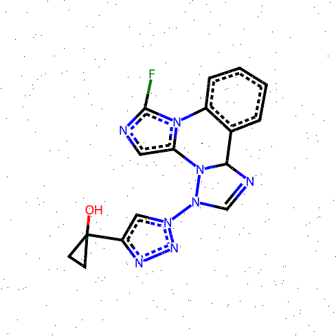 OC1(c2cn(N3C=NC4c5ccccc5-n5c(cnc5F)N43)nn2)CC1